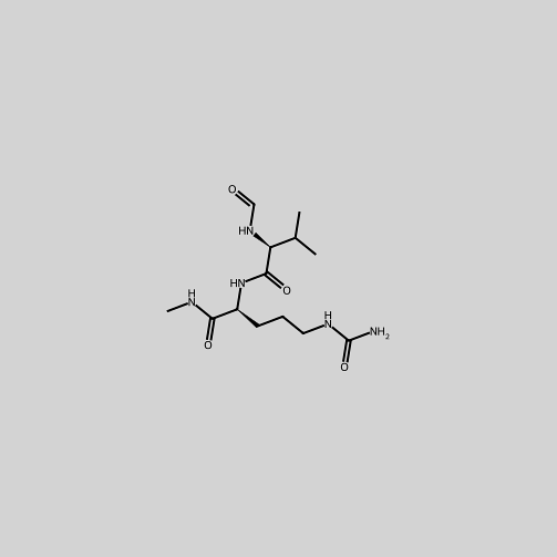 CNC(=O)[C@H](CCCNC(N)=O)NC(=O)[C@@H](NC=O)C(C)C